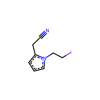 N#CCc1cccn1CCI